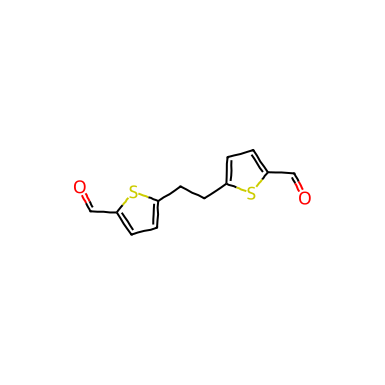 O=Cc1ccc(CCc2ccc(C=O)s2)s1